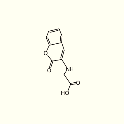 O=C(O)CNc1cc2ccccc2oc1=O